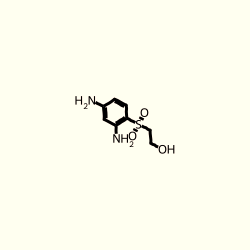 Nc1ccc(S(=O)(=O)CCO)c(N)c1